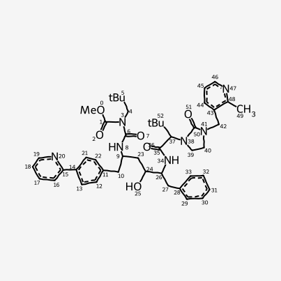 COC(=O)N(CC(C)(C)C)C(=O)NC(Cc1ccc(-c2ccccn2)cc1)CC(O)C(Cc1ccccc1)NC(=O)C(N1CCN(Cc2cccnc2C)C1=O)C(C)(C)C